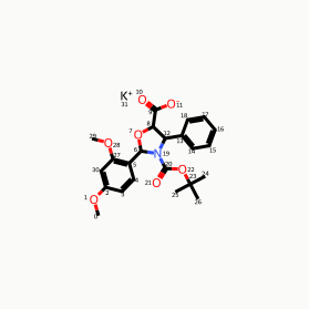 COc1ccc(C2OC(C(=O)[O-])C(c3ccccc3)N2C(=O)OC(C)(C)C)c(OC)c1.[K+]